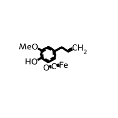 C=CCc1ccc(O)c(OC)c1.O=[C]=[Fe]